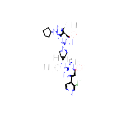 Cc1nn(C2CCCC2)c2nc(N3C[C@@H]4[C@H](C3)[C@H]4N(C)c3nc(-c4ccncc4F)cc(=O)n3C)[nH]c(=O)c12